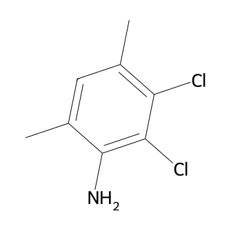 Cc1cc(C)c(Cl)c(Cl)c1N